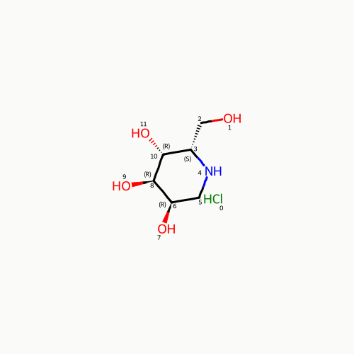 Cl.OC[C@@H]1NC[C@@H](O)[C@@H](O)[C@@H]1O